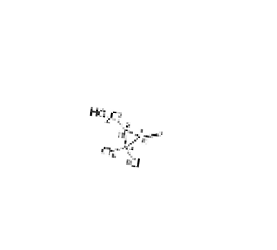 C[C@@H]1[C@@H](C(=O)O)C1(Cl)Cl